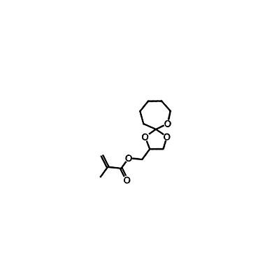 C=C(C)C(=O)OCC1COC2(CCCCCO2)O1